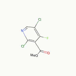 COC(=O)c1c(Cl)ncc(Cl)c1F